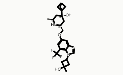 C[C@H]1C[C@@](O)(C23CC(C2)C3)C[C@@H](COc2cc(C(F)(F)F)c3c(c2)ncn3C2CC(C)(O)C2)N1